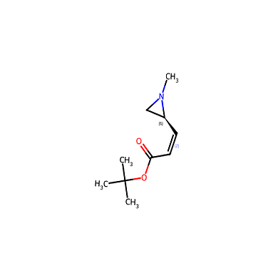 CN1C[C@@H]1/C=C\C(=O)OC(C)(C)C